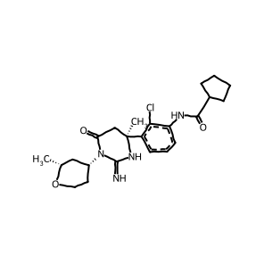 C[C@@H]1C[C@H](N2C(=N)N[C@](C)(c3cccc(NC(=O)C4CCCC4)c3Cl)CC2=O)CCO1